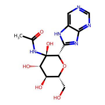 CC(=O)N[C@]1(O)[C@H](c2nc3ncncc3[nH]2)O[C@H](CO)[C@@H](O)[C@@H]1O